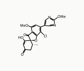 COc1ncc(-c2cc(OC)c3c(c2Cl)O[C@]2(C3=O)C(O)=CC(=O)C[C@H]2C)cn1